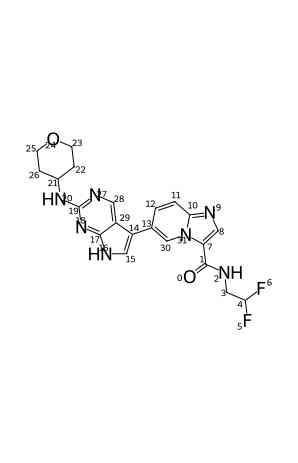 O=C(NCC(F)F)c1cnc2ccc(-c3c[nH]c4nc(NC5CCOCC5)ncc34)cn12